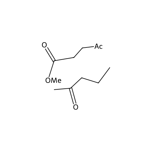 CCCC(C)=O.COC(=O)CCC(C)=O